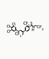 FC(=CC(c1cc(Cl)c(Cl)c(Cl)c1)C(F)(F)F)c1ccc(C(=S)NCC(F)(F)F)c(C(F)(F)F)c1